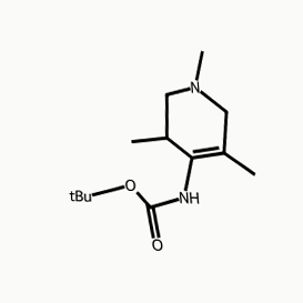 CC1=C(NC(=O)OC(C)(C)C)C(C)CN(C)C1